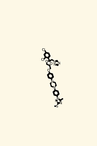 CSc1nc(C)n(-c2ccc(N3CCN(c4ccc(OCC5COC(Cn6cncn6)(c6ccc(Cl)cc6Cl)O5)cc4)CC3)cc2)n1